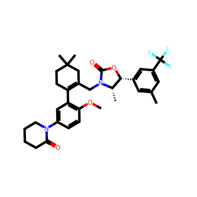 COc1ccc(N2CCCCC2=O)cc1C1=C(CN2C(=O)O[C@H](c3cc(C)cc(C(F)(F)F)c3)[C@@H]2C)CC(C)(C)CC1